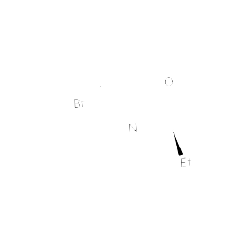 CC[C@@H]1COC(C2(Br)CC2)=N1